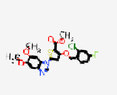 COC(=O)c1sc(-n2cnc3cc(OC)c(OC)cc32)cc1OCc1ccc(F)cc1Cl